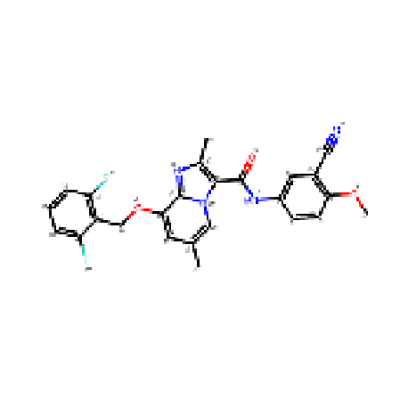 COc1ccc(NC(=O)c2c(C)nc3c(OCc4c(F)cccc4F)cc(C)cn23)cc1C#N